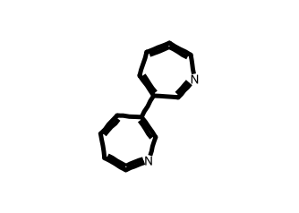 C1=CC=C(C2=CN=C=CC=C2)C=NC=1